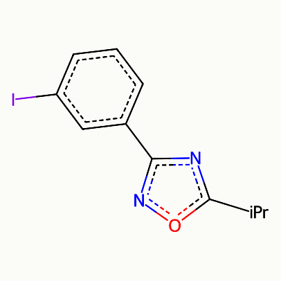 CC(C)c1nc(-c2cccc(I)c2)no1